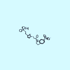 O=C(O)CCc1ccc(CCC(=O)N2CCc3ccc([N+](=O)[O-])cc32)s1